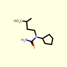 CC(CCN(C(N)=S)C1CCCC1)C(=O)O